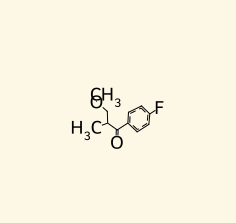 COCC(C)C(=O)c1ccc(F)cc1